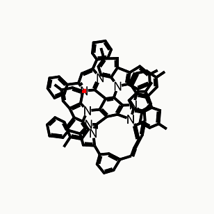 CC1=Cc2c(n(-c3c(-n4c5ccc(C)cc5c5cc(C)ccc54)c(-c4nc(-c5ccccc5)cc(-c5ccccc5)n4)c(-n4c5ccc(C)cc5c5cc(C)ccc54)c4c5nc(-c6ccccc6)cc(n5)c5cccc(c5)c5ccc6c(c5)c5c(n6c34)CCC(C)=C5)c3ccc(C)cc23)C#CC1